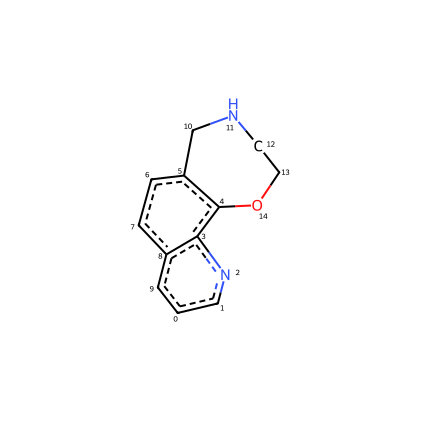 c1cnc2c3c(ccc2c1)CNCCO3